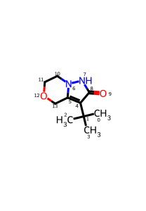 CC(C)(C)c1c2n([nH]c1=O)CCOC2